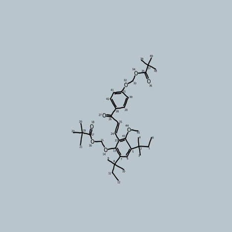 CCC(C)(C)c1cc(C(C)(C)CC)c(OCOC(=O)C(C)(C)C)c(C=CC(=O)c2ccc(OCOC(=O)C(C)(C)C)cc2)c1OC